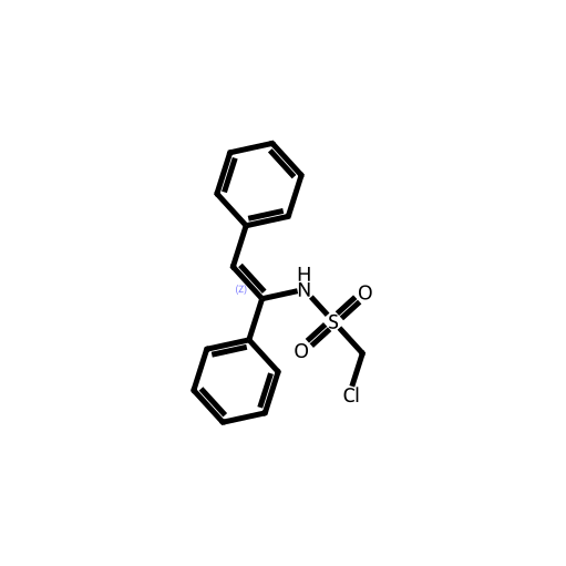 O=S(=O)(CCl)N/C(=C\c1ccccc1)c1ccccc1